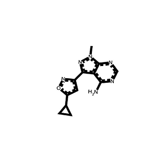 Cn1nc(-c2cc(C3CC3)on2)c2c(N)ncnc21